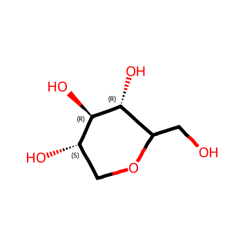 OC[C]1OC[C@H](O)[C@@H](O)[C@@H]1O